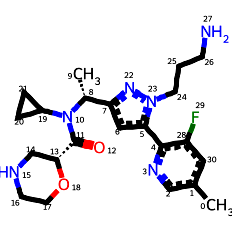 Cc1cnc(-c2cc([C@@H](C)N(C(=O)[C@H]3CNCCO3)C3CC3)nn2CCCN)c(F)c1